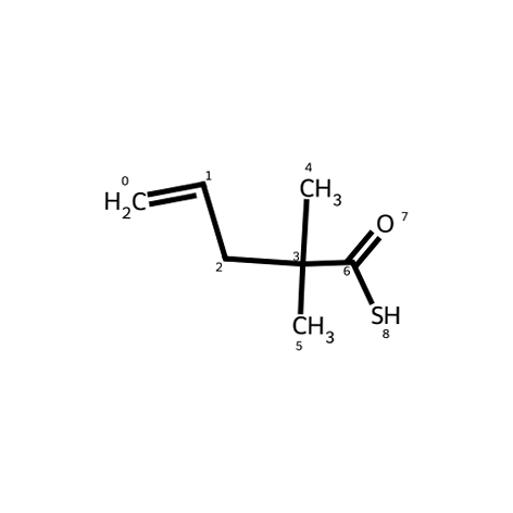 C=CCC(C)(C)C(=O)S